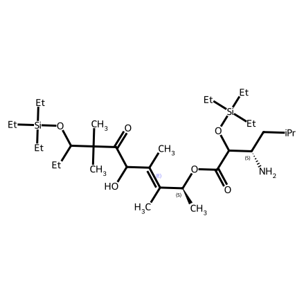 CCC(O[Si](CC)(CC)CC)C(C)(C)C(=O)C(O)/C(C)=C(\C)[C@H](C)OC(=O)C(O[Si](CC)(CC)CC)[C@@H](N)CC(C)C